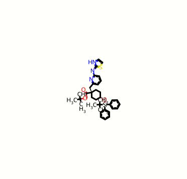 CC(C)(C)OC(=O)[C@]1(Cc2cccc(/N=c3/[nH]ccs3)n2)CC[C@H](O[Si](c2ccccc2)(c2ccccc2)C(C)(C)C)CC1